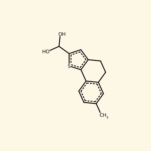 Cc1ccc2c(c1)CCc1cc(C(O)O)sc1-2